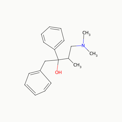 CC(CN(C)C)C(O)(Cc1ccccc1)c1ccccc1